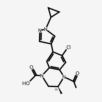 CC(=O)N1c2cc(Cl)c(-c3cnn(C4CC4)c3)cc2N(C(=O)O)C[C@@H]1C